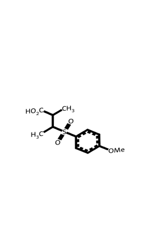 COc1ccc(S(=O)(=O)C(C)C(C)C(=O)O)cc1